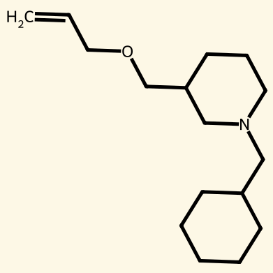 C=CCOCC1CCCN(CC2CCCCC2)C1